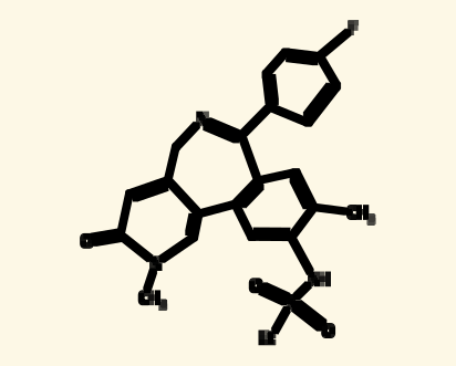 CCS(=O)(=O)Nc1cc2c(cc1C)C(c1ccc(F)cc1)=NCc1cc(=O)n(C)cc1-2